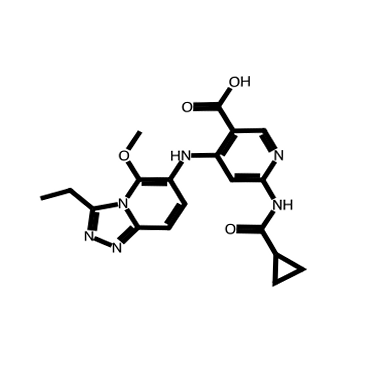 CCc1nnc2ccc(Nc3cc(NC(=O)C4CC4)ncc3C(=O)O)c(OC)n12